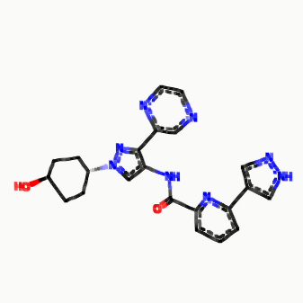 O=C(Nc1cn([C@H]2CC[C@H](O)CC2)nc1-c1cnccn1)c1cccc(-c2cn[nH]c2)n1